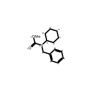 COC(=O)N(Cc1ccccc1)C1CCCCC1